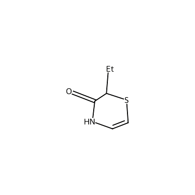 CCC1SC=CNC1=O